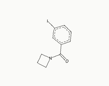 O=C(c1cccc(I)c1)N1CCC1